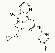 O=C(Cn1c2ncccc2c(=O)n2nc(NC3CC3)cc12)Nc1ccc(F)cn1